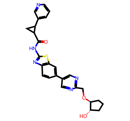 O=C(Nc1nc2ccc(-c3cnc(CO[C@H]4CCC[C@@H]4O)nc3)cc2s1)C1CC1c1cccnc1